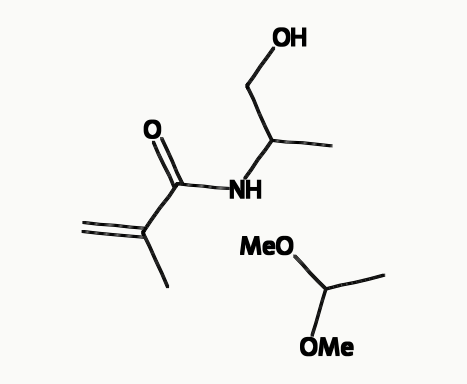 C=C(C)C(=O)NC(C)CO.COC(C)OC